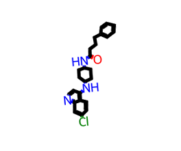 O=C(CCCc1ccccc1)NC1CCC(Nc2ccnc3cc(Cl)ccc23)CC1